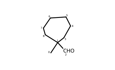 CC1(C=O)CCCCCC1